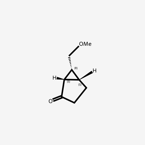 COC[C@@H]1[C@@H]2CCC(=O)[C@H]12